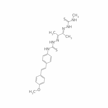 CNC(=S)N/N=C(C)/C(C)=N/NC(=S)Nc1ccc(/C=C/c2ccc(OC)cc2)cc1